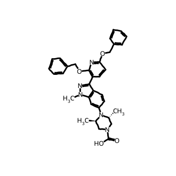 C[C@@H]1CN(C(=O)O)C[C@@H](C)N1c1ccc2c(-c3ccc(OCc4ccccc4)nc3OCc3ccccc3)nn(C)c2c1